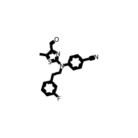 Cc1sc(N(CCc2cccc(F)c2)c2ccc(C#N)cc2)nc1C=O